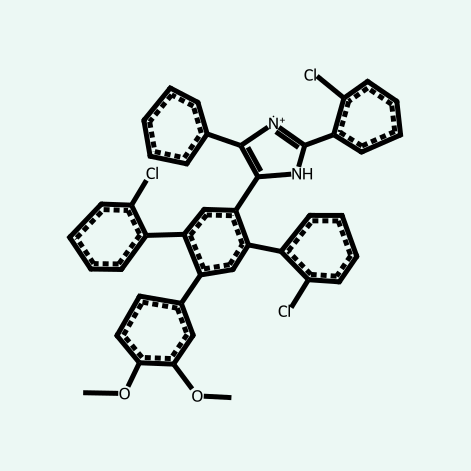 COc1ccc(-c2cc(-c3ccccc3Cl)c(C3=C(c4ccccc4)[N+]=C(c4ccccc4Cl)N3)cc2-c2ccccc2Cl)cc1OC